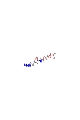 CC(=O)COCCOCCNC(=O)CCCCN=[N+]=[N-]